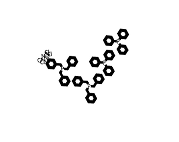 [Cl][Ni][Cl].[Cl][Ni][Cl].c1ccc(CP(Cc2ccccc2)Cc2ccccc2)cc1.c1ccc(CP(Cc2ccccc2)Cc2ccccc2)cc1.c1ccc(P(c2ccccc2)c2ccccc2)cc1.c1ccc(P(c2ccccc2)c2ccccc2)cc1